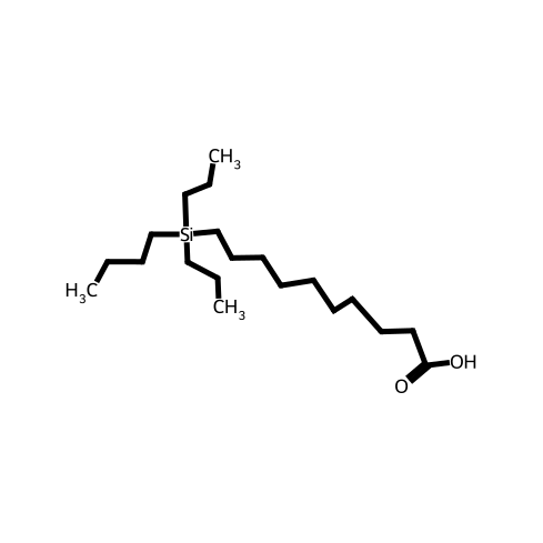 CCCC[Si](CCC)(CCC)CCCCCCCCCC(=O)O